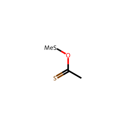 CSOC(C)=S